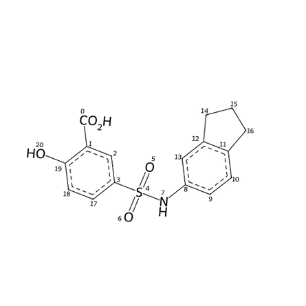 O=C(O)c1cc(S(=O)(=O)Nc2ccc3c(c2)CCC3)ccc1O